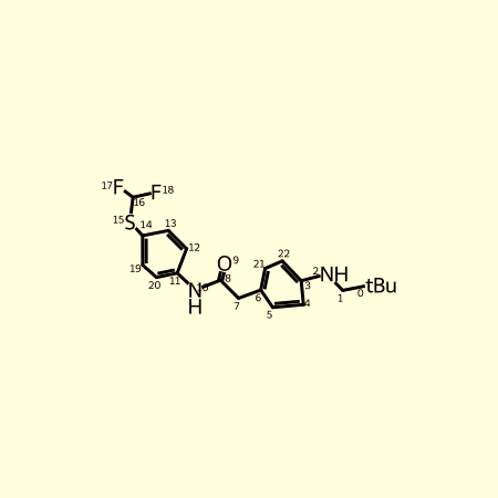 CC(C)(C)CNc1ccc(CC(=O)Nc2ccc(SC(F)F)cc2)cc1